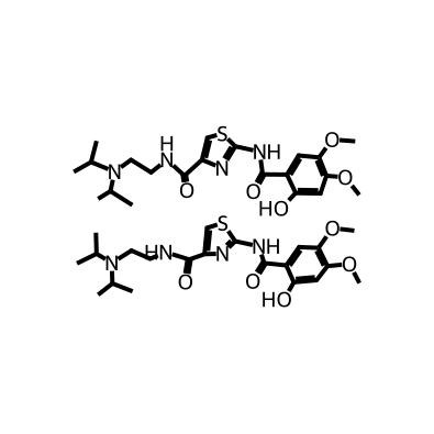 COc1cc(O)c(C(=O)Nc2nc(C(=O)NCCN(C(C)C)C(C)C)cs2)cc1OC.COc1cc(O)c(C(=O)Nc2nc(C(=O)NCCN(C(C)C)C(C)C)cs2)cc1OC